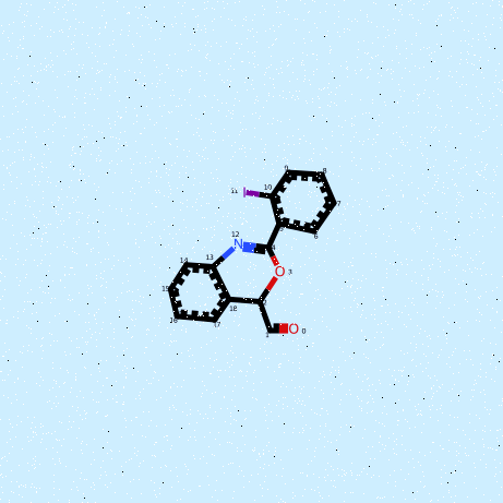 O=CC1OC(c2ccccc2I)=Nc2ccccc21